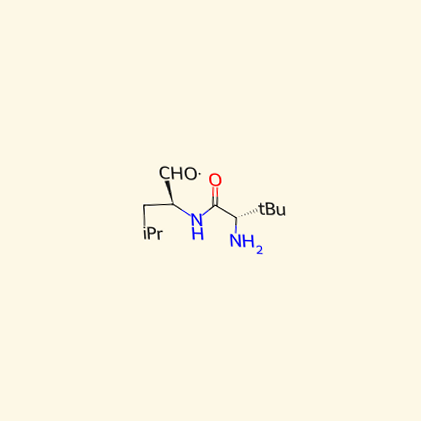 CC(C)C[C@@H]([C]=O)NC(=O)[C@@H](N)C(C)(C)C